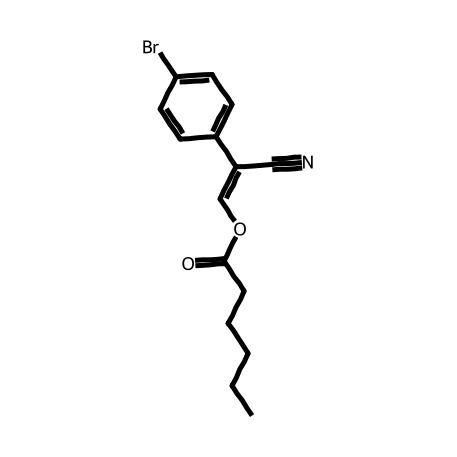 CCCCCC(=O)O/C=C(\C#N)c1ccc(Br)cc1